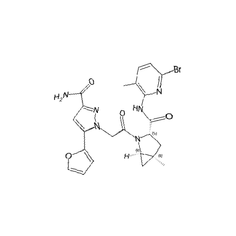 Cc1ccc(Br)nc1NC(=O)[C@@H]1C[C@@]2(C)C[C@H]2N1C(=O)Cn1nc(C(N)=O)cc1-c1ccco1